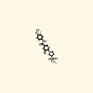 CS(=N)(=O)[C@@H]1CCN(c2ncc(C(=O)Nc3ccc(OC(F)(F)F)cc3)cc2Br)C1